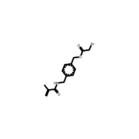 C=C(C)C(=O)NCc1ccc(COC(=O)CC(C)=O)cc1